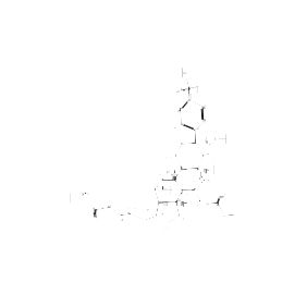 CCC(=O)O[C@@H]1C[C@@H]2C[C@](O)(c3ccc(C(F)(F)F)cc3)CC[C@]2(C)[C@H]2CC[C@]3(C)[C@@H]([C@H](C)CCCC(=O)O)CC[C@H]3[C@H]12